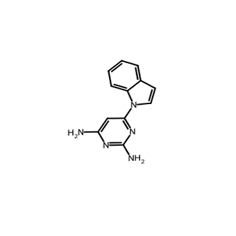 Nc1cc(-n2ccc3ccccc32)nc(N)n1